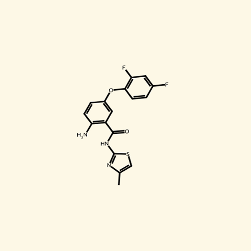 Cc1csc(NC(=O)c2cc(Oc3ccc(F)cc3F)ccc2N)n1